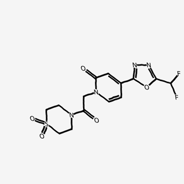 O=C(Cn1ccc(-c2nnc(C(F)F)o2)cc1=O)N1CCS(=O)(=O)CC1